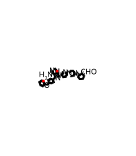 Nc1ncnc2c1c(-c1ccc(Oc3ccccc3)cc1)nn2-c1ccc(N2CCN(C[C@@H]3CCCC[C@H]3C=O)CC2)nc1